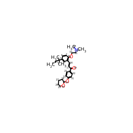 C=CC(C)(C)c1ccc(OCCN(C)C)c(C=CC(=O)c2ccc(OC3CCCCO3)cc2)c1